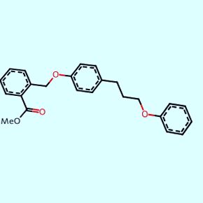 COC(=O)c1ccccc1COc1ccc(CCCOc2ccccc2)cc1